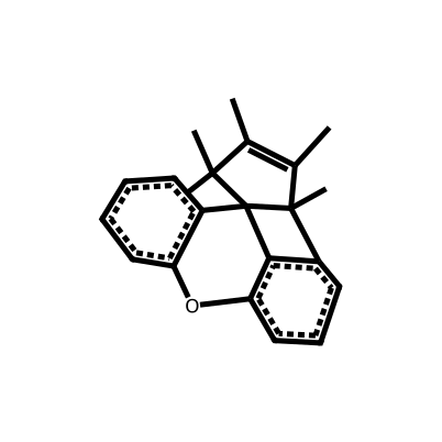 CC1=C(C)C2(C)c3cccc4c3C2(c2ccccc2O4)C1(C)C